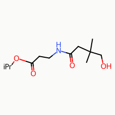 CC(C)OC(=O)CCNC(=O)CC(C)(C)CO